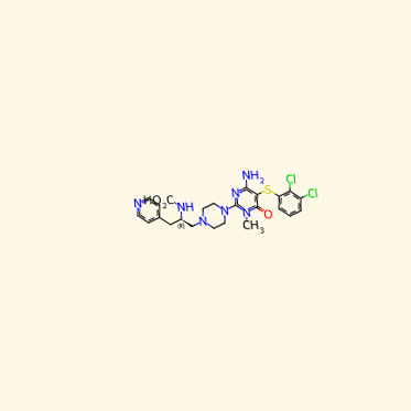 Cn1c(N2CCN(C[C@@H](Cc3ccncc3)NC(=O)O)CC2)nc(N)c(Sc2cccc(Cl)c2Cl)c1=O